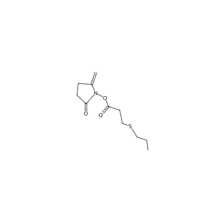 C=C1CCC(=O)N1OC(=O)CCSCCC